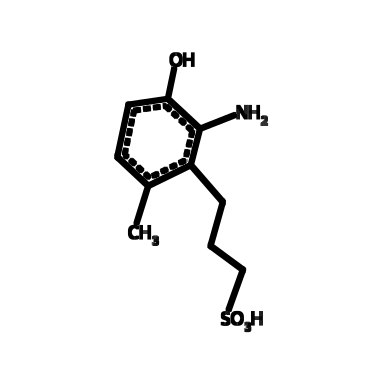 Cc1ccc(O)c(N)c1CCCS(=O)(=O)O